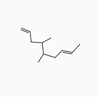 [CH2]C(CC=CC)C(C)CC=C